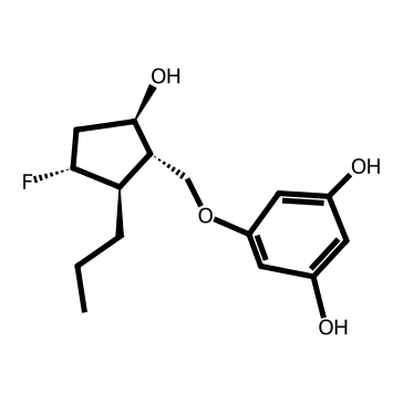 CCC[C@@H]1[C@@H](COc2cc(O)cc(O)c2)[C@H](O)C[C@H]1F